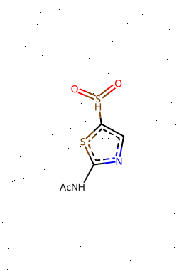 CC(=O)Nc1ncc([SH](=O)=O)s1